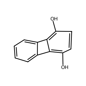 Oc1ccc(O)c2c1-c1ccccc1-2